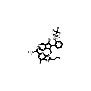 CCCc1nc2c(C)cc(C(N)=O)nc2n1Cc1c2ccocc-2c(Br)c1-c1ccccc1NS(=O)(=O)C(F)(F)F